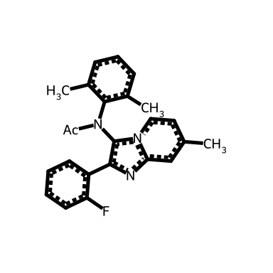 CC(=O)N(c1c(C)cccc1C)c1c(-c2ccccc2F)nc2cc(C)ccn12